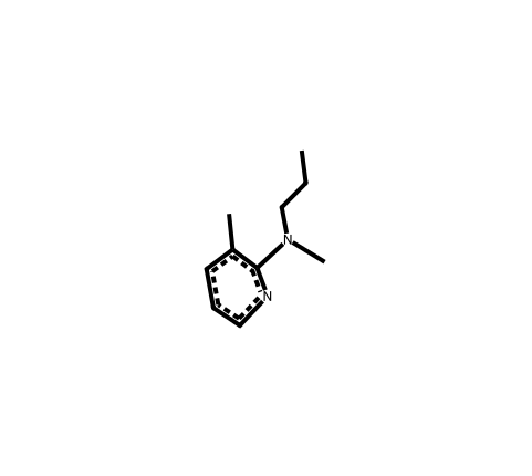 CCCN(C)c1ncccc1C